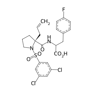 C=CC[C@]1(C(=O)NC(Cc2ccc(F)cc2)C(=O)O)CCCN1S(=O)(=O)c1cc(Cl)cc(Cl)c1